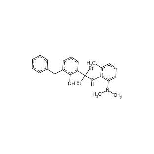 CCC(CC)(Pc1c(C)cccc1N(C)C)c1cccc(Cc2ccccc2)c1O